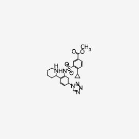 COC(=O)c1ccc(C2CC2)c(S(=O)(=O)Nc2cc(-n3cnnn3)ccc2C2CCCCN2)c1